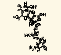 COCCO[C@@H]1[C@H](O[PH](=O)OC[C@H]2O[C@@H](n3cnc4c(=O)[nH]c(N)nc43)C[C@@H]2O)[C@@H](CO)O[C@H]1N1C=CC(=O)NC1O